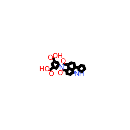 O=C(O)c1cc(C(=O)O)cc(-n2c(=O)c3ccc4[nH]c5ccccc5c5ccc(c2=O)c3c45)c1